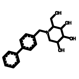 OCC1C(O)C(O)C(O)CN1Cc1ccc(-c2ccccc2)cc1